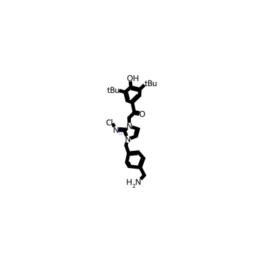 CC(C)(C)c1cc(C(=O)Cn2ccn(Cc3ccc(CN)cc3)/c2=N/Cl)cc(C(C)(C)C)c1O